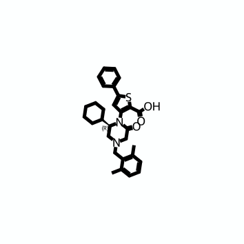 Cc1cccc(C)c1CN1CC(=O)N(c2cc(-c3ccccc3)sc2C(=O)O)[C@H](C2CCCCC2)C1